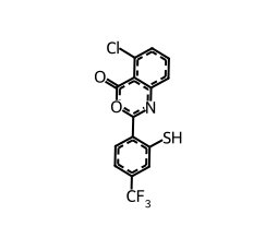 O=c1oc(-c2ccc(C(F)(F)F)cc2S)nc2cccc(Cl)c12